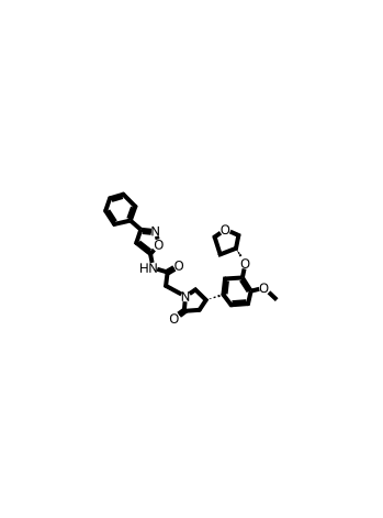 COc1ccc([C@@H]2CC(=O)N(CC(=O)Nc3cc(-c4ccccc4)no3)C2)cc1O[C@@H]1CCOC1